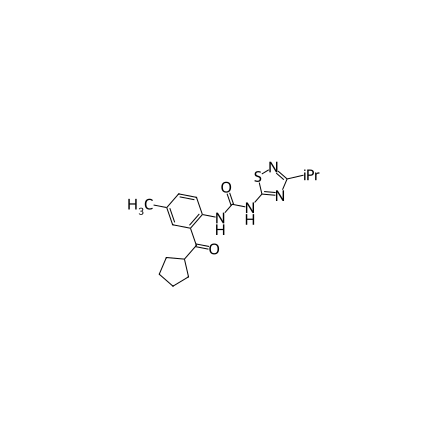 Cc1ccc(NC(=O)Nc2nc(C(C)C)ns2)c(C(=O)C2CCCC2)c1